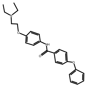 CCN(CC)CCOc1ccc(NC(=O)c2ccc(Oc3ccccc3)cc2)cc1